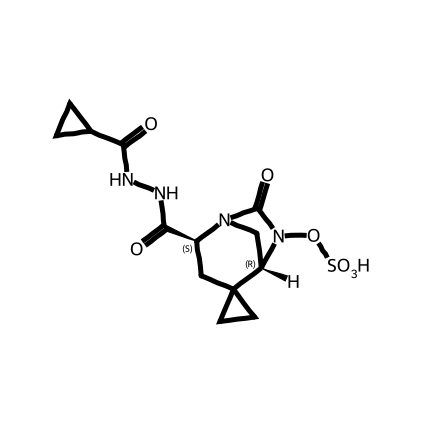 O=C(NNC(=O)[C@@H]1CC2(CC2)[C@@H]2CN1C(=O)N2OS(=O)(=O)O)C1CC1